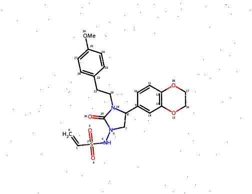 C=CS(=O)(=O)NN1CC(c2ccc3c(c2)OCCO3)N(CCc2ccc(OC)cc2)C1=O